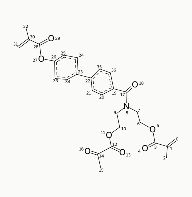 C=C(C)C(=O)OCCN(CCOC(=O)C(C)=O)C(=O)c1ccc(-c2ccc(OC(=O)C(=C)C)cc2)cc1